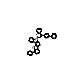 c1ccc(-c2ccc(-c3cc(-n4c5ccccc5c5c6oc7c(-c8ccccc8)cccc7c6ccc54)nc4ccccc34)cc2)cc1